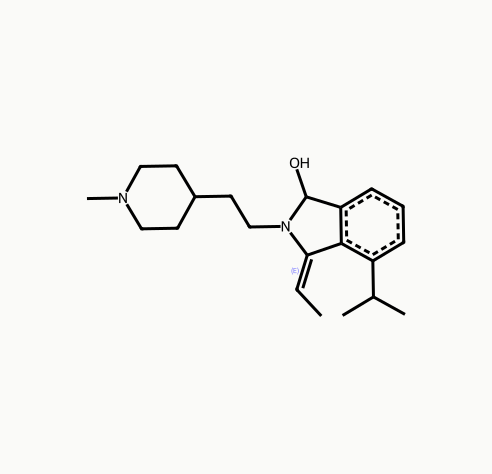 C/C=C1\c2c(C(C)C)cccc2C(O)N1CCC1CCN(C)CC1